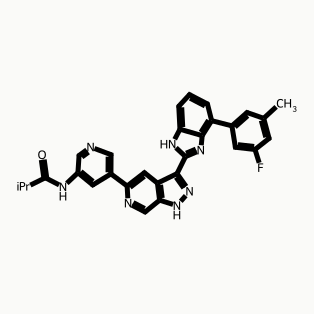 Cc1cc(F)cc(-c2cccc3[nH]c(-c4n[nH]c5cnc(-c6cncc(NC(=O)C(C)C)c6)cc45)nc23)c1